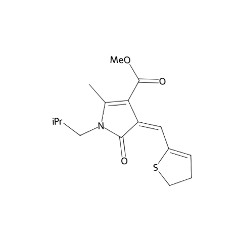 COC(=O)C1=C(C)N(CC(C)C)C(=O)/C1=C\C1=CCCS1